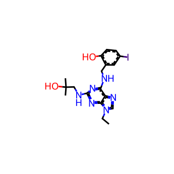 CCn1cnc2c(NCc3cc(I)ccc3O)nc(NCC(C)(C)O)nc21